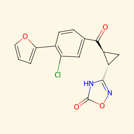 O=C(c1ccc(-c2ccco2)c(Cl)c1)[C@H]1C[C@@H]1c1noc(=O)[nH]1